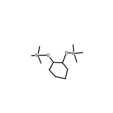 C[Si](C)(C)OC1CCCCC1O[Si](C)(C)C